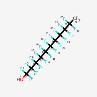 OC(F)(F)C(F)(F)C(F)(F)C(F)(F)C(F)(F)C(F)(F)C(F)(F)C(F)(F)C(F)(F)C(F)(F)C(F)(F)F